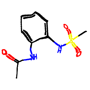 CC(=O)Nc1ccccc1NS(C)(=O)=O